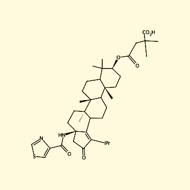 CC(C)C1=C2C3CCC4[C@@]5(C)CC[C@H](OC(=O)CC(C)(C)C(=O)O)C(C)(C)C5CC[C@@]4(C)[C@]3(C)CC[C@@]2(NC(=O)c2cscn2)CC1=O